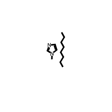 CCCCCCCC.Cn1ccnc1